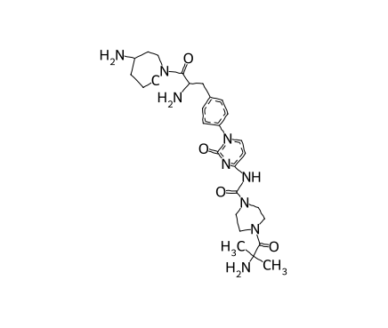 CC(C)(N)C(=O)N1CCN(C(=O)Nc2ccn(-c3ccc(CC(N)C(=O)N4CCCC(N)CC4)cc3)c(=O)n2)CC1